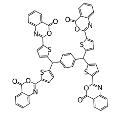 O=c1oc(-c2ccc(C(c3ccc(C(c4ccc(-c5nc6ccccc6c(=O)o5)s4)c4ccc(-c5nc6ccccc6c(=O)o5)s4)cc3)c3ccc(-c4nc5ccccc5c(=O)o4)s3)s2)nc2ccccc12